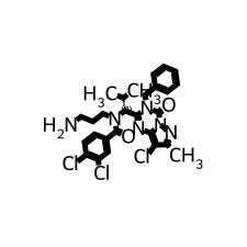 Cc1nn2c(=O)n(Cc3ccccc3)c([C@@H](C(C)C)N(CCCN)C(=O)c3ccc(Cl)c(Cl)c3)nc2c1Cl